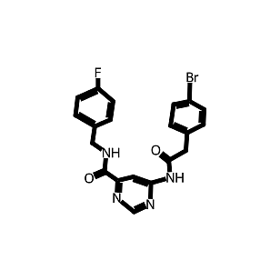 O=C(Cc1ccc(Br)cc1)Nc1cc(C(=O)NCc2ccc(F)cc2)ncn1